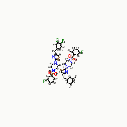 Cc1cc(C)cc(Cc2csc(N3CCN(S(=O)(=O)c4cc(F)ccc4C)CC3)n2)c1.Cc1ccc(F)cc1S(=O)(=O)N1CCN(c2nc(Cc3ccc(F)c(Cl)c3)cs2)CC1